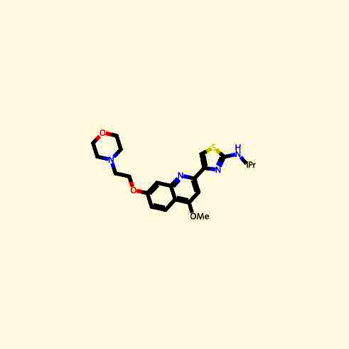 COc1cc(-c2csc(NC(C)C)n2)nc2cc(OCCN3CCOCC3)ccc12